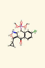 COP(=O)(Cc1cc(Br)ccc1C(=O)c1cnoc1C1CC1)OC